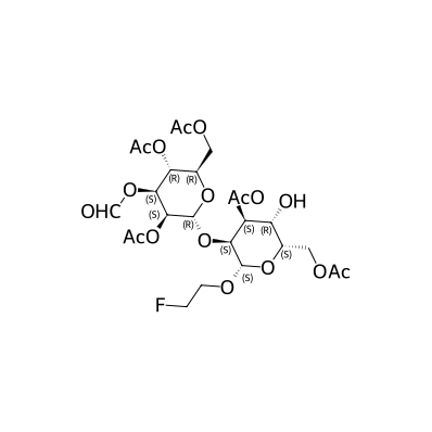 CC(=O)OC[C@@H]1O[C@H](OCCF)[C@@H](O[C@H]2O[C@H](COC(C)=O)[C@@H](OC(C)=O)[C@H](OC=O)[C@@H]2OC(C)=O)[C@@H](OC(C)=O)[C@@H]1O